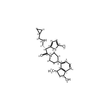 C[C@@H]1C[C@H](O)c2ncnc(N3CCN(C(=O)[C@H](CNCC4CC4)c4ccc(Cl)s4)CC3)c21